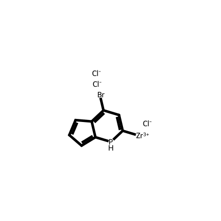 Brc1c[c]([Zr+3])[pH]c2cccc1-2.[Cl-].[Cl-].[Cl-]